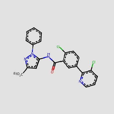 CCOC(=O)c1cc(NC(=O)c2cc(-c3ncccc3Cl)ccc2Cl)n(-c2ccccc2)n1